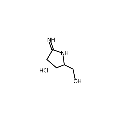 Cl.N=C1CCC(CO)N1